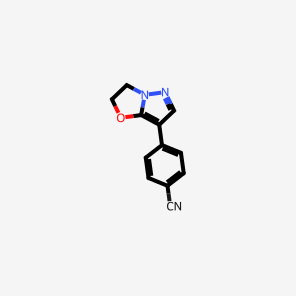 N#Cc1ccc(-c2cnn3c2OCC3)cc1